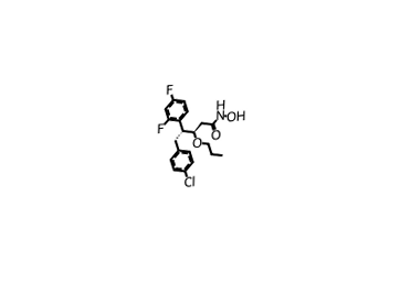 CCCO[C@H](CC(=O)NO)[C@H](Cc1ccc(Cl)cc1)c1ccc(F)cc1F